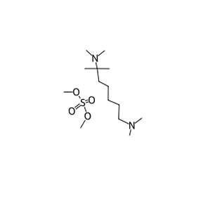 CN(C)CCCCCC(C)(C)N(C)C.COS(=O)(=O)OC